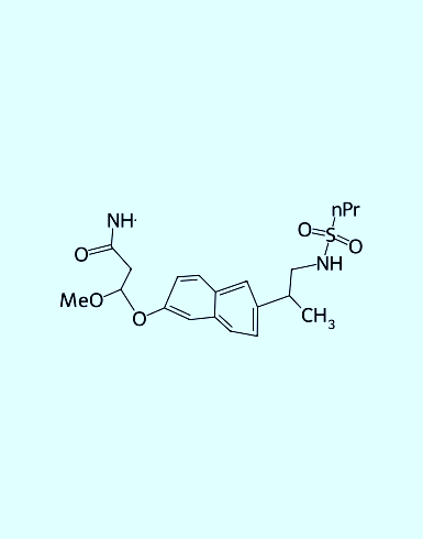 CCCS(=O)(=O)NCC(C)c1ccc2cc(OC(CC([NH])=O)OC)ccc2c1